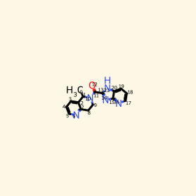 CC1c2cccnc2CCN1C(=O)c1nc2ncccc2[nH]1